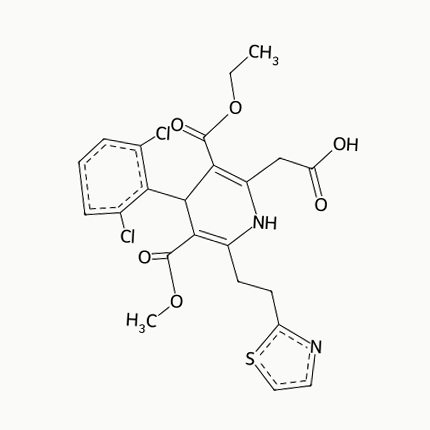 CCOC(=O)C1=C(CC(=O)O)NC(CCc2nccs2)=C(C(=O)OC)C1c1c(Cl)cccc1Cl